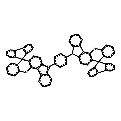 c1ccc2c(c1)Sc1c(ccc3c1-c1ccccc1C3c1ccc(-n3c4ccccc4c4c5c(ccc43)C3(c4ccccc4S5)c4ccccc4-c4ccccc43)cc1)C21c2ccccc2-c2ccccc21